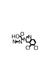 N#CN=C(C(=O)O)N1C=Nc2ccc(Cl)c(Cl)c2C1